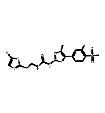 CCc1cnc(CCNC(=O)Nc2nc(C)c(-c3ccc(S(C)(=O)=O)c(F)c3)s2)o1